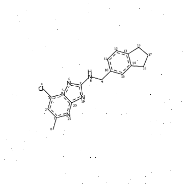 Cc1cc(Cl)n2nc(NCc3ccc4c(c3)CCC4)nc2n1